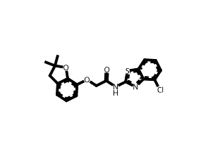 CC1(C)Cc2cccc(OCC(=O)Nc3nc4c(Cl)cccc4s3)c2O1